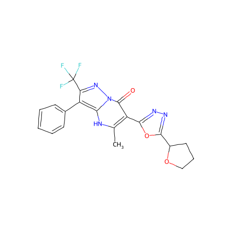 Cc1[nH]c2c(-c3ccccc3)c(C(F)(F)F)nn2c(=O)c1-c1nnc(C2CCCO2)o1